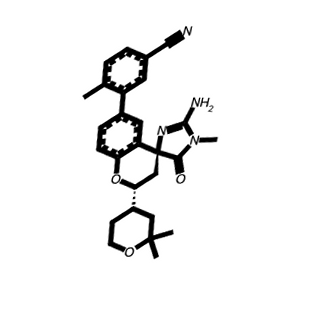 Cc1ccc(C#N)cc1-c1ccc2c(c1)[C@]1(C[C@H](C3CCOC(C)(C)C3)O2)N=C(N)N(C)C1=O